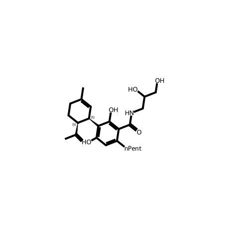 C=C(C)[C@H]1CCC(C)=C[C@H]1c1c(O)cc(CCCCC)c(C(=O)NCC(O)CO)c1O